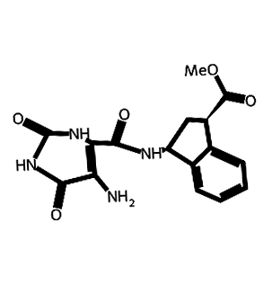 COC(=O)[C@@H]1C[C@H](NC(=O)c2[nH]c(=O)[nH]c(=O)c2N)c2ccccc21